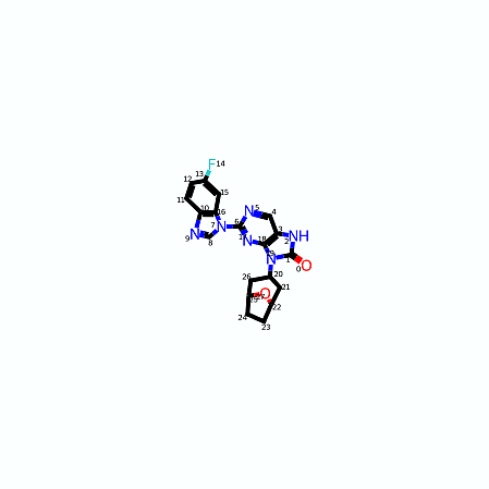 O=c1[nH]c2cnc(-n3cnc4ccc(F)cc43)nc2n1C1CC2CCC(C1)O2